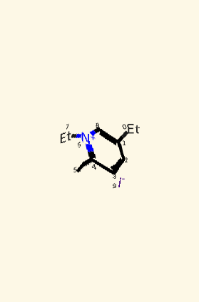 CCc1ccc(C)[n+](CC)c1.[I-]